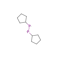 C1CCC([P][P]C2CCCC2)C1